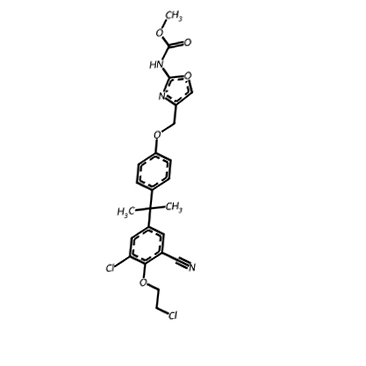 COC(=O)Nc1nc(COc2ccc(C(C)(C)c3cc(Cl)c(OCCCl)c(C#N)c3)cc2)co1